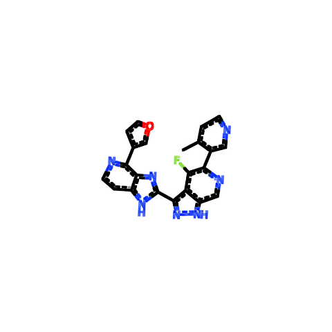 Cc1ccncc1-c1ncc2[nH]nc(-c3nc4c(-c5ccoc5)nccc4[nH]3)c2c1F